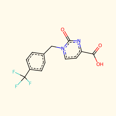 O=C(O)c1ccn(Cc2ccc(C(F)(F)F)cc2)c(=O)n1